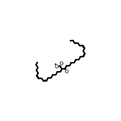 CCCCC/C=C\C/C=C\CCCCCCCC(=O)C(CCCCCC/C=C\C/C=C\CCCCC)C(=O)OC